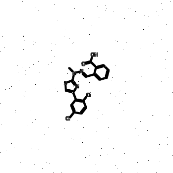 CN(/N=C/c1ccccc1C(=O)O)c1nc(-c2cc(Cl)ccc2Cl)cs1